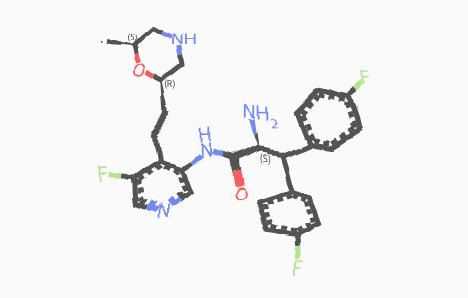 [CH2][C@H]1CNC[C@@H](CCc2c(F)cncc2NC(=O)[C@@H](N)C(c2ccc(F)cc2)c2ccc(F)cc2)O1